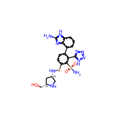 Nc1nc2c(-c3ccc(SN[C@@H]4CN[C@H](CO)C4)c(S(N)(=O)=O)c3-c3nnn[nH]3)cccc2[nH]1